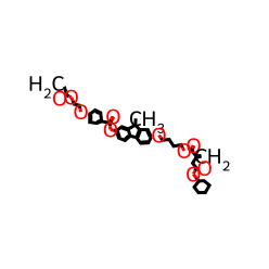 C=CC(=O)OCCOc1ccc(C(=O)Oc2ccc3c(c2)C(C)c2cc(OCCCCOC(=O)C(=C)CC(=O)OC4CCCCC4)ccc2-3)cc1